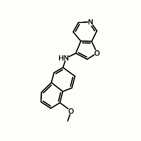 COc1cccc2cc(Nc3coc4cnccc34)ccc12